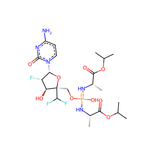 CC(C)OC(=O)[C@H](C)N[PH](O)(N[C@@H](C)C(=O)OC(C)C)OC[C@@]1(C(F)F)O[C@@H](n2ccc(N)nc2=O)[C@@H](F)[C@@H]1O